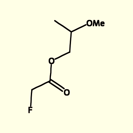 COC(C)COC(=O)CF